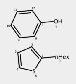 CCCCCCc1cccs1.Oc1ccccc1